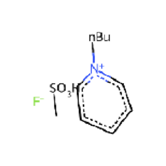 CCCC[n+]1ccccc1.CS(=O)(=O)O.[F-]